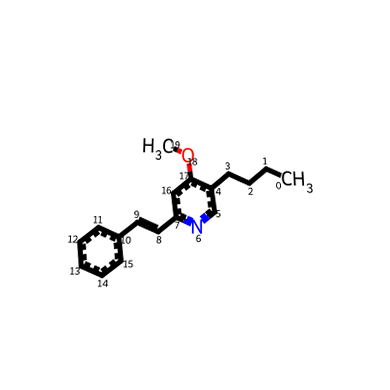 CCCCc1cnc(/C=C/c2ccccc2)cc1OC